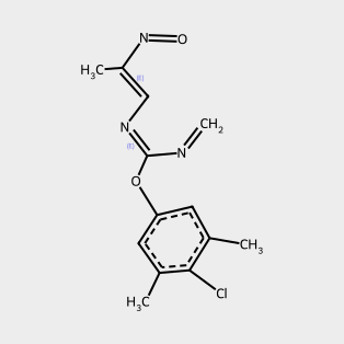 C=N/C(=N\C=C(/C)N=O)Oc1cc(C)c(Cl)c(C)c1